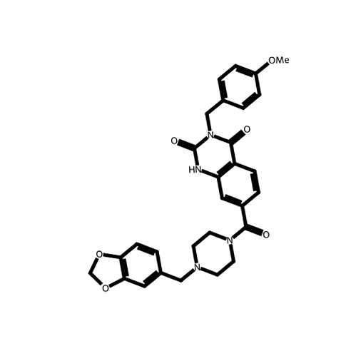 COc1ccc(Cn2c(=O)[nH]c3cc(C(=O)N4CCN(Cc5ccc6c(c5)OCO6)CC4)ccc3c2=O)cc1